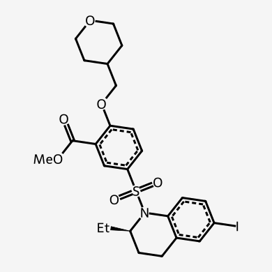 CC[C@@H]1CCc2cc(I)ccc2N1S(=O)(=O)c1ccc(OCC2CCOCC2)c(C(=O)OC)c1